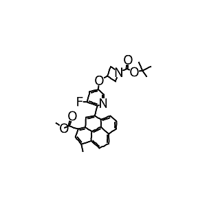 COC(=O)c1cc(C)c2ccc3cccc4c(-c5ncc(OC6CN(C(=O)OC(C)(C)C)C6)cc5F)cc1c2c34